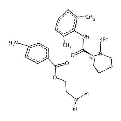 CCCN1CCCC[C@H]1C(=O)Nc1c(C)cccc1C.CCN(CC)CCOC(=O)c1ccc(N)cc1